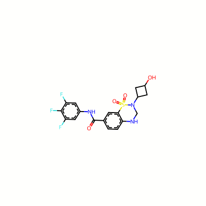 O=C(Nc1cc(F)c(F)c(F)c1)c1ccc2c(c1)S(=O)(=O)N(C1CC(O)C1)CN2